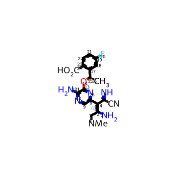 CNC/C(N)=C(/C(=N)C#N)c1cnc(N)c(O[C@H](C)c2cc(F)ccc2C(=O)O)n1